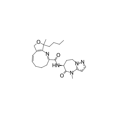 CCCCC1(C)OCC2=C1/N=C(/C(=O)N[C@H]1CCn3nccc3N(C)C1=O)CCC/C=C\2